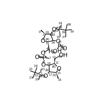 C[C@@H]1O[C@H](COP(C)(=O)OC2[C@@H](CO)O[C@@H](C)[C@H]2O[Si](C)(C)C(C)(C)C)C(O[PH](=O)O)[C@@H]1O[Si](C)(C)C(C)(C)C